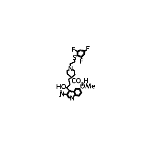 COc1ccc2ncc(N(C)C)c(C(O)CCC3(C(=O)O)CCN(CCSc4c(F)cc(F)cc4F)CC3)c2c1